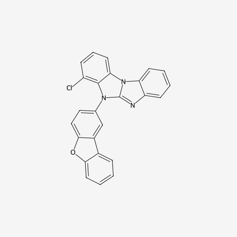 Clc1cccc2c1n(-c1ccc3oc4ccccc4c3c1)c1nc3ccccc3n21